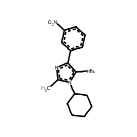 CCCCc1c(-c2cccc([N+](=O)[O-])c2)nc(C)n1C1CCCCC1